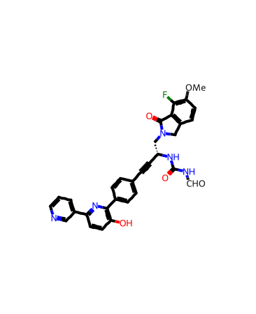 COc1ccc2c(c1F)C(=O)N(C[C@@H](C#Cc1ccc(-c3nc(-c4cccnc4)ccc3O)cc1)NC(=O)NC=O)C2